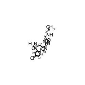 CCCNCc1nc(-c2ncn3c2CN(C)C(=O)c2cc(Cl)ccc2-3)no1